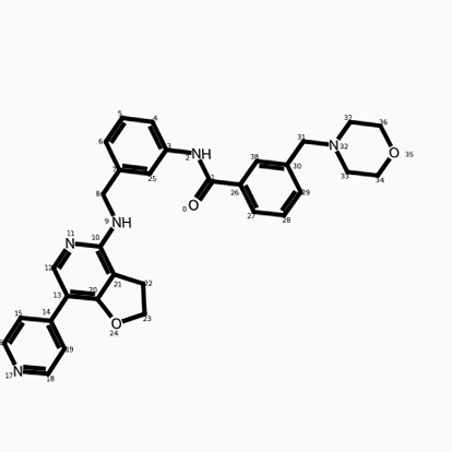 O=C(Nc1cccc(CNc2ncc(-c3ccncc3)c3c2CCO3)c1)c1cccc(CN2CCOCC2)c1